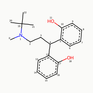 CN(CCC(c1ccccc1O)c1ccccc1O)C(C)(C)C